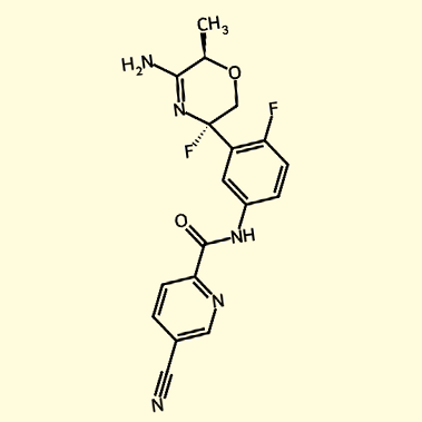 C[C@H]1OC[C@@](F)(c2cc(NC(=O)c3ccc(C#N)cn3)ccc2F)N=C1N